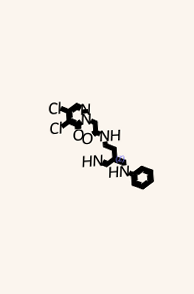 N=C/C(=C\Nc1ccccc1)CCNC(=O)Cn1ncc(Cl)c(Cl)c1=O